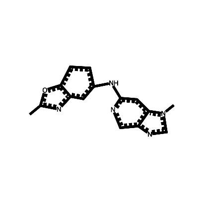 Cc1nc2cc(Nc3cc4c(cn3)ncn4C)ccc2o1